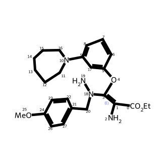 CCOC(=O)/C(N)=C(\Oc1cccc(N2CCCCCC2)c1)N(N)Cc1ccc(OC)cc1